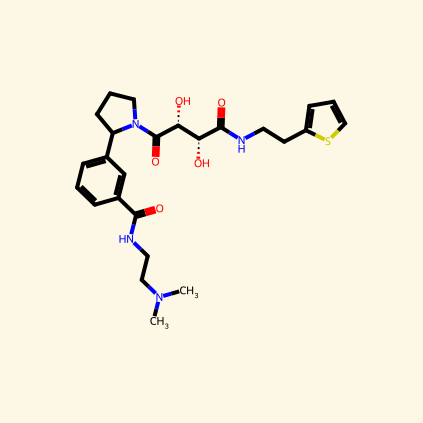 CN(C)CCNC(=O)c1cccc(C2CCCN2C(=O)[C@H](O)[C@@H](O)C(=O)NCCc2cccs2)c1